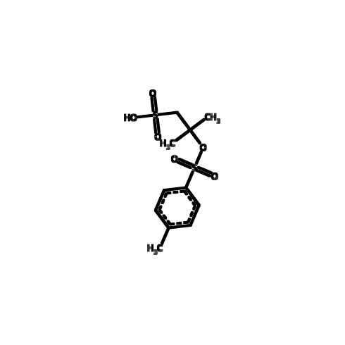 Cc1ccc(S(=O)(=O)OC(C)(C)CS(=O)(=O)O)cc1